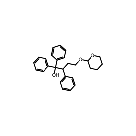 OC(c1ccccc1)(c1ccccc1)C(CCOC1CCCCO1)c1ccccc1